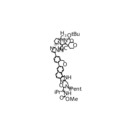 CCC[C@H](C)N(Cc1nc2ccc3cc4c(cc3c2[nH]1)OCc1cc(-c2cnc([C@@H]3CC[C@H](C)N3C(=O)[C@@H](NC(=O)OC(C)(C)C)C3(C)CCOCC3)[nH]2)ccc1-4)C(=O)[C@@H](NC(=O)OC)C(C)C